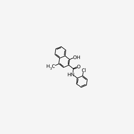 Cc1cc(C(=O)Nc2ccccc2Cl)c(O)c2ccccc12